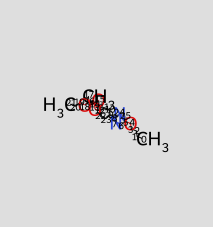 CCCCOc1cnc(-c2ccc(OC(=O)C(C)OCCC)cc2)nc1